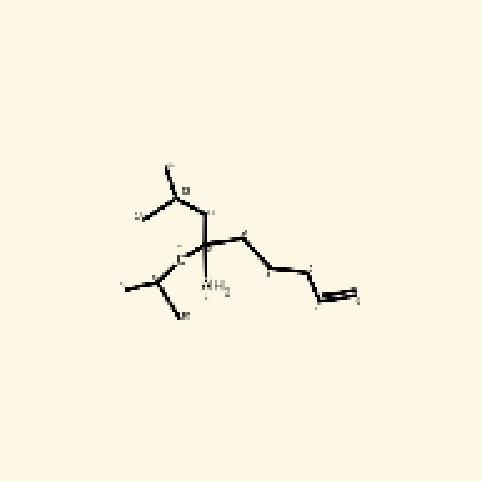 C=CCCC[C]([AlH2])(CC(C)C)CC(C)C